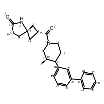 C[C@H]1CN(C(=O)[C@H]2C[C@]3(COC(=O)N3)C2)CCC1c1cccc(-c2ccccc2)c1